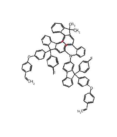 C=Cc1ccc(Oc2ccc(C3(c4ccc(F)cc4)c4ccccc4-c4ccc(N(c5ccc6c(c5)C(c5ccc(F)cc5)(c5ccc(Oc7ccc(C=C)cc7)cc5)c5ccccc5-6)c5ccccc5-c5ccc6c(c5)C(C)(C)c5ccccc5-6)cc43)cc2)cc1